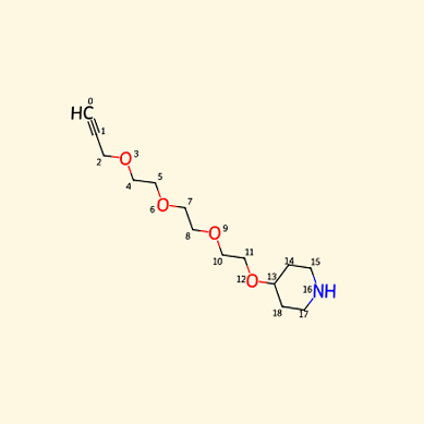 C#CCOCCOCCOCCOC1CCNCC1